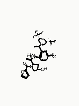 C=C(Nc1ccc(Br)cc1C(=C)N1C[C@H](C(F)(F)F)C[C@H](C(F)(F)F)C1)C1CC(O)CN1C(=O)c1ccco1